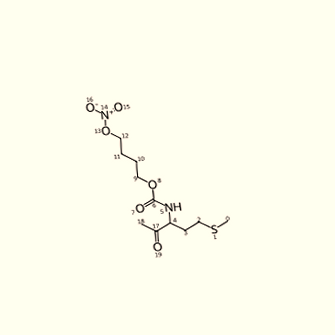 CSCCC(NC(=O)OCCCCO[N+](=O)[O-])C(C)=O